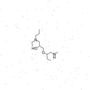 CCCN(CC)CC(O)COC(CC)CNC